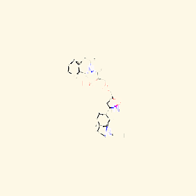 Cn1ccc2ccc(-c3cc(COCC(O)CN4CCc5ccccc5C4)on3)cc21